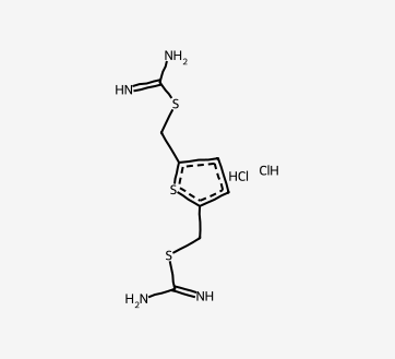 Cl.Cl.N=C(N)SCc1ccc(CSC(=N)N)s1